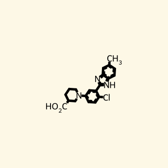 Cc1ccc2[nH]c(-c3cc(N4CCCC(C(=O)O)C4)ccc3Cl)nc2c1